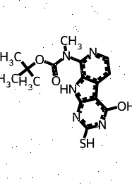 CN(C(=O)OC(C)(C)C)c1nccc2c1[nH]c1nc(S)nc(O)c12